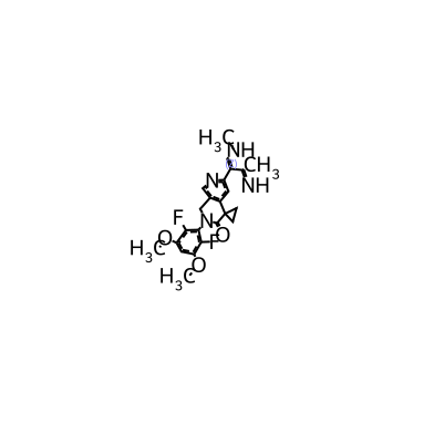 CN/C=C(\C(C)=N)c1cc2c(cn1)CN(c1c(F)c(OC)cc(OC)c1F)C(=O)C21CC1